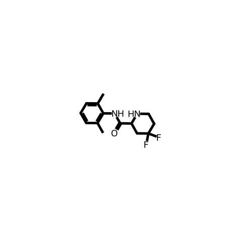 Cc1cccc(C)c1NC(=O)C1CC(F)(F)CCN1